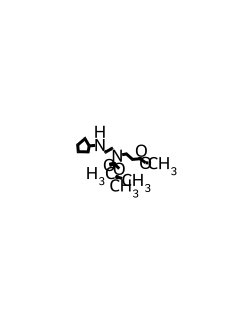 COC(=O)CCN(CCNC1CCCC1)C(=O)OC(C)(C)C